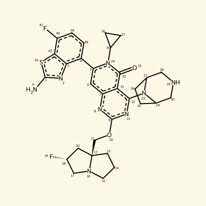 Nc1nc2c(-c3cc4nc(OC[C@@]56CCCN5C[C@H](F)C6)nc(N5C6CCC5CNC6)c4c(=O)n3C3CC3)ccc(F)c2s1